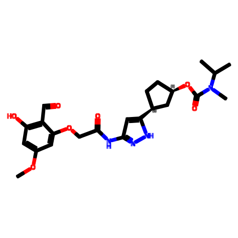 COc1cc(O)c(C=O)c(OCC(=O)Nc2cc([C@H]3CC[C@@H](OC(=O)N(C)C(C)C)C3)[nH]n2)c1